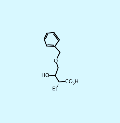 CC[C@@H](C(=O)O)C(O)COCc1ccccc1